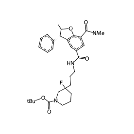 CNC(=O)c1cc(C(=O)NCCCC2(F)CCCN(C(=O)OC(C)(C)C)C2)cc2c1OC(C)[C@H]2c1ccccc1